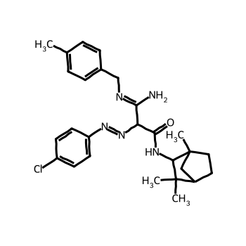 Cc1ccc(C/N=C(\N)C(/N=N/c2ccc(Cl)cc2)C(=O)NC2C3(C)CCC(C3)C2(C)C)cc1